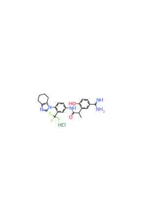 CC(C(=O)Nc1ccc(-n2cnc3c2CCCC3)c(C(F)(F)F)c1)c1cc(C(=N)N)ccc1O.Cl